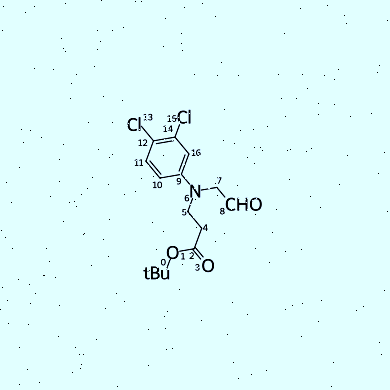 CC(C)(C)OC(=O)CCN(CC=O)c1ccc(Cl)c(Cl)c1